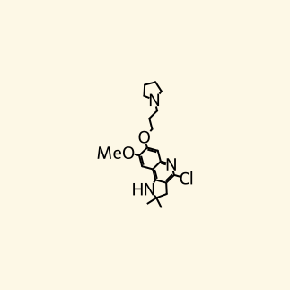 COc1cc2c3c(c(Cl)nc2cc1OCCCN1CCCC1)CC(C)(C)N3